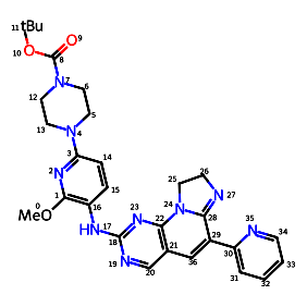 COc1nc(N2CCN(C(=O)OC(C)(C)C)CC2)ccc1Nc1ncc2c(n1)N1CCN=C1C(c1ccccn1)=C2